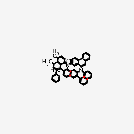 CC1C=CC2(C)C3=C1C(C)C=C(c1ccccc1)C3(C)c1ccccc1N2c1ccc2c(c1)c(N(c1ccccc1)c1ccccc1-c1ccccc1)cc1ccccc12